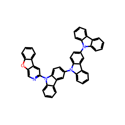 c1ccc2c(c1)oc1cnc(-n3c4ccccc4c4cc(-n5c6ccccc6c6cc(-n7c8ccccc8c8ccccc87)ccc65)ccc43)cc12